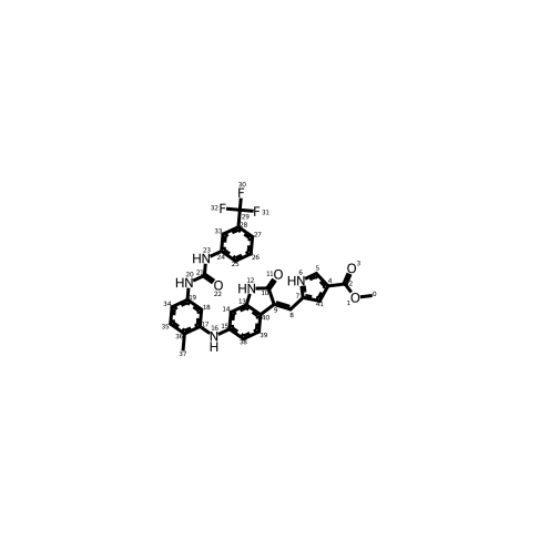 COC(=O)c1c[nH]c(C=C2C(=O)Nc3cc(Nc4cc(NC(=O)Nc5cccc(C(F)(F)F)c5)ccc4C)ccc32)c1